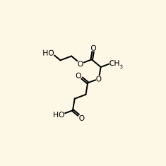 CC(OC(=O)CCC(=O)O)C(=O)OCCO